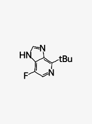 CC(C)(C)c1ncc(F)c2[nH]cnc12